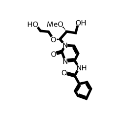 CO[C@H](CO)[C@@H](OCCO)n1ccc(NC(=O)c2ccccc2)nc1=O